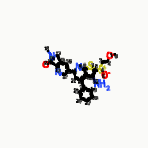 COCC[S+]([O-])c1sc2nc(-c3cnc4c(c3)CN(C)C4=O)cc(-c3ccccc3)c2c1N